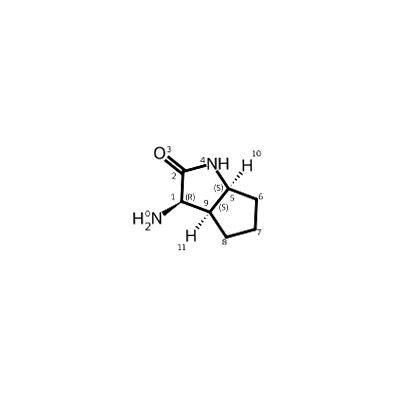 N[C@H]1C(=O)N[C@H]2CCC[C@H]21